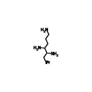 CC(C)CC(N)C(N)CCCN